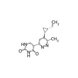 C=C[C@H]1C[C@@H]1c1cc(-c2c[nH]c(=O)[nH]c2=O)nnc1C